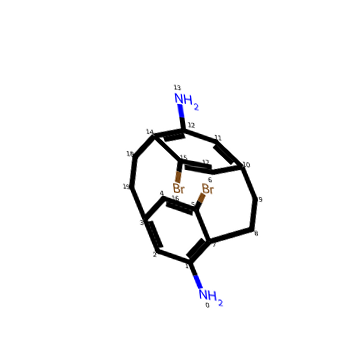 Nc1cc2cc(Br)c1CCc1cc(N)c(c(Br)c1)CC2